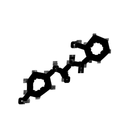 O=C(NNc1ccccc1Cl)Oc1ccc(Cl)cc1